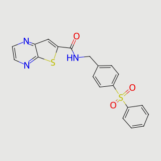 O=C(NCc1ccc(S(=O)(=O)c2ccccc2)cc1)c1cc2nccnc2s1